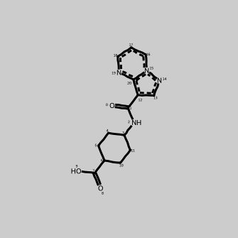 O=C(NC1CCC(C(=O)O)CC1)c1cnn2cccnc12